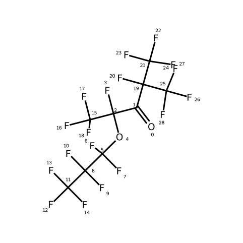 O=C(C(F)(OC(F)(F)C(F)(F)C(F)(F)F)C(F)(F)F)C(F)(C(F)(F)F)C(F)(F)F